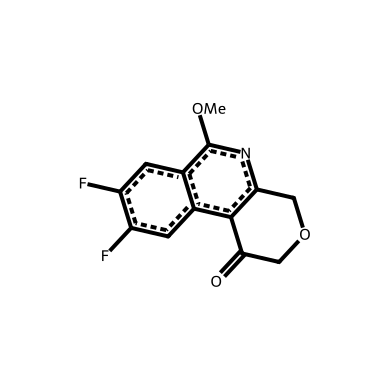 COc1nc2c(c3cc(F)c(F)cc13)C(=O)COC2